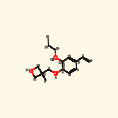 C=Cc1ccc(OCC2(C)COC2)c(OCCC)c1